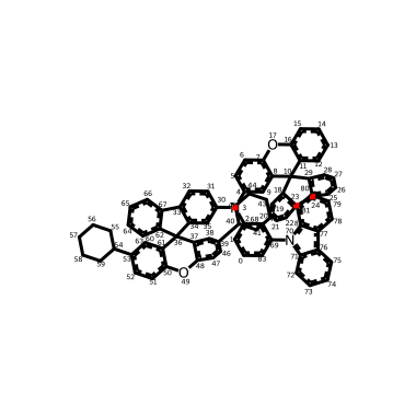 c1cc(N(c2ccc3c(c2)C2(c4ccccc4O3)c3ccccc3-c3ccccc32)c2ccc3c(c2)C2(c4cc(C5CCCCC5)ccc4Oc4ccc(C5CCCCC5)cc42)c2ccccc2-3)cc(-n2c3ccccc3c3ccccc32)c1